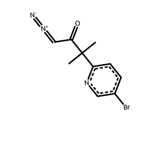 CC(C)(C(=O)C=[N+]=[N-])c1ccc(Br)cn1